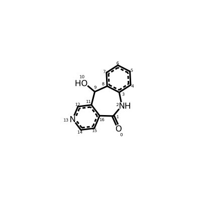 O=C1Nc2ccccc2C(O)c2cnccc21